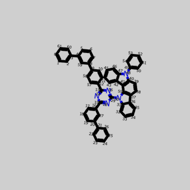 c1ccc(-c2cccc(-c3ccc(-c4nc(-c5cccc(-c6ccccc6)c5)nc(-n5c6ccccc6c6ccc7c(c8ccccc8n7-c7ccccc7)c65)n4)cc3)c2)cc1